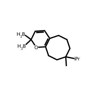 BC1(B)C=CC2=C(CCC(C)(C(C)C)CCC2)O1